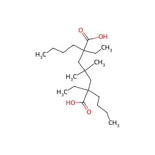 CCCCC(CC)(CC(C)(C)CC(CC)(CCCC)C(=O)O)C(=O)O